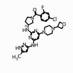 Cc1cc(Nc2cc(N3CCN(C4COC4)CC3)nc(N[C@H]3CCN(C(=O)c4ccc(Cl)cc4F)C3)n2)n[nH]1